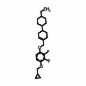 CCC1CCC(C2CC=C(COc3ccc(OCC4CC4)c(F)c3F)CC2)CC1